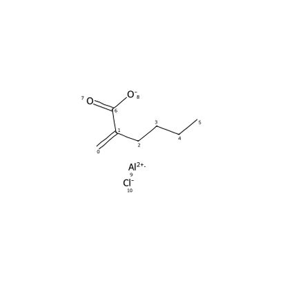 C=C(CCCC)C(=O)[O-].[Al+2].[Cl-]